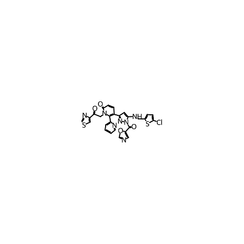 O=C(Cn1c(-c2ccccn2)c(-c2cc(NCc3ccc(Cl)s3)n(C(=O)c3cnco3)n2)ccc1=O)c1cscn1